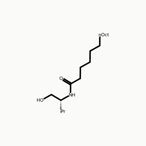 CCCCCCCCCCCCCC(=O)N[C@@H](CO)C(C)C